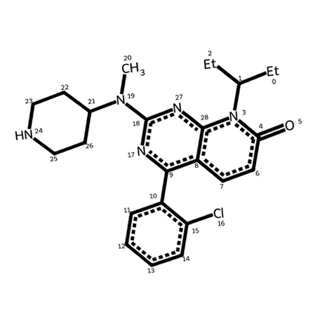 CCC(CC)n1c(=O)ccc2c(-c3ccccc3Cl)nc(N(C)C3CCNCC3)nc21